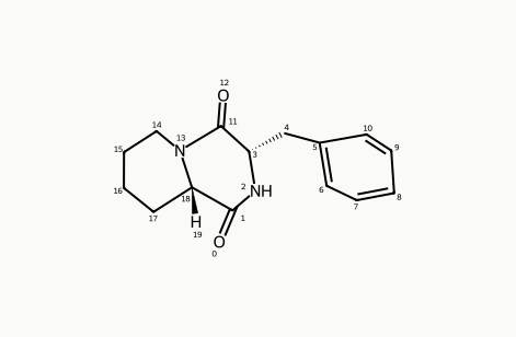 O=C1N[C@@H](Cc2ccccc2)C(=O)N2CCCC[C@@H]12